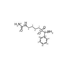 NC(=O)NCCCCS(=O)(=O)C(N)c1ccccc1